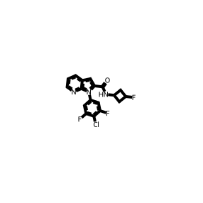 O=C(NC1CC(F)C1)c1cc2cccnc2n1-c1cc(F)c(Cl)c(F)c1